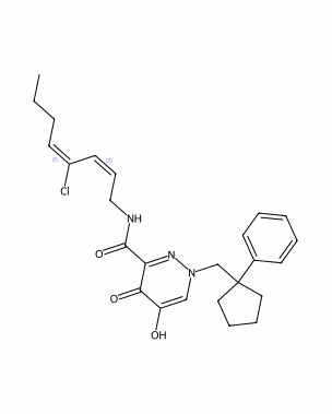 CCC/C=C(Cl)\C=C/CNC(=O)c1nn(CC2(c3ccccc3)CCCC2)cc(O)c1=O